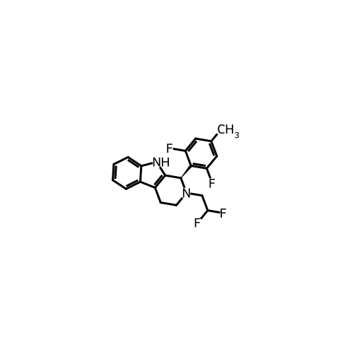 Cc1cc(F)c([C@@H]2c3[nH]c4ccccc4c3CCN2CC(F)F)c(F)c1